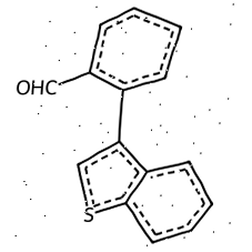 O=Cc1ccccc1-c1csc2ccccc12